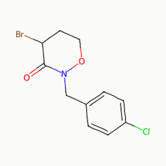 O=C1C(Br)CCON1Cc1ccc(Cl)cc1